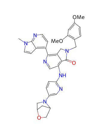 COc1ccc(CN2Cc3c(-c4ccnc5c4ccn5C)ncc(Nc4ccc(N5CC6CC5CO6)cn4)c3C2=O)c(OC)c1